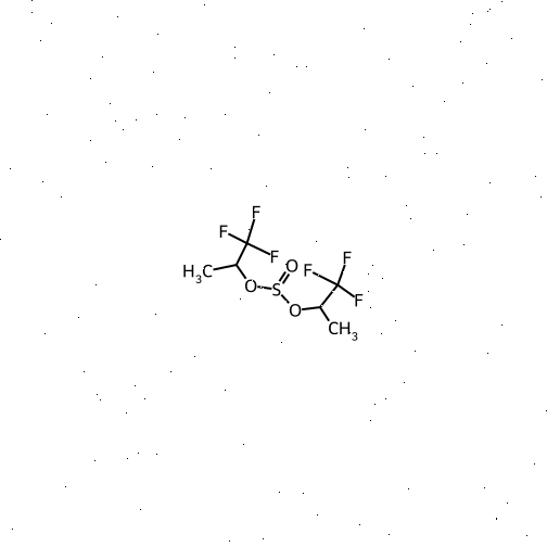 CC(OS(=O)OC(C)C(F)(F)F)C(F)(F)F